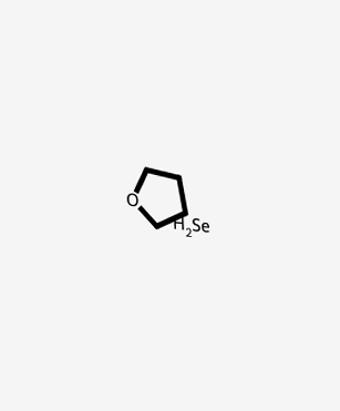 C1CCOC1.[SeH2]